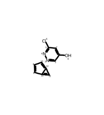 Oc1cnnc(Cl)c1.c1cc2cc-2c1